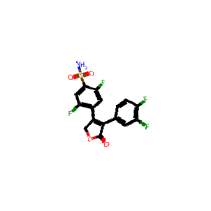 NS(=O)(=O)c1cc(F)c(C2=C(c3ccc(F)c(F)c3)C(=O)OC2)cc1F